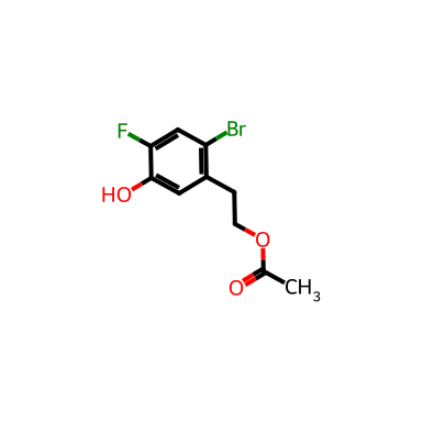 CC(=O)OCCc1cc(O)c(F)cc1Br